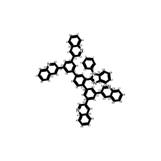 c1ccc(-n2c(-c3cc(-c4cc(-c5cnc6ccccc6c5)cc(-c5cnc6ccccc6c5)c4)ccc3-c3cc(-c4cnc5ccccc5c4)cc(-c4cnc5ccccc5c4)c3)nc3ccccc32)cc1